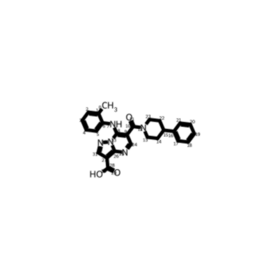 Cc1ccccc1Nc1c(C(=O)N2CCC(c3ccccc3)CC2)cnc2c(C(=O)O)cnn12